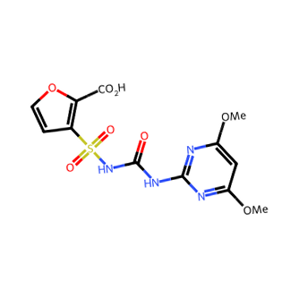 COc1cc(OC)nc(NC(=O)NS(=O)(=O)c2ccoc2C(=O)O)n1